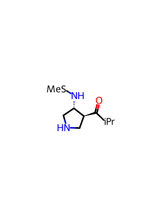 CSN[C@H]1CNC[C@@H]1C(=O)C(C)C